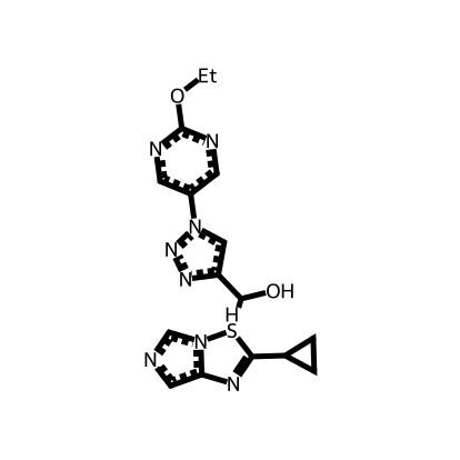 CCOc1ncc(-n2cc(C(O)[SH]3C(C4CC4)=Nc4cncn43)nn2)cn1